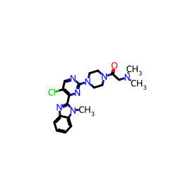 CN(C)CC(=O)N1CCN(c2ncc(Cl)c(-c3nc4ccccc4n3C)n2)CC1